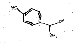 NC(O)c1ccc(O)cc1